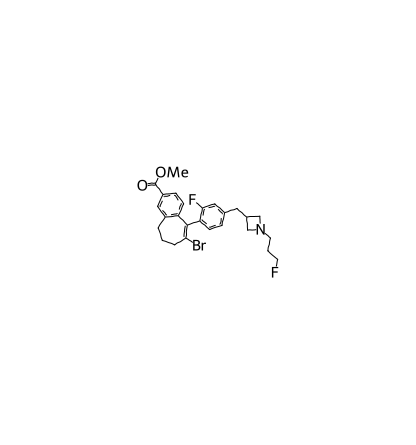 COC(=O)c1ccc2c(c1)CCCC(Br)=C2c1ccc(CC2CN(CCCF)C2)cc1F